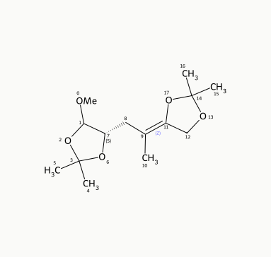 COC1OC(C)(C)O[C@H]1C/C(C)=C1/COC(C)(C)O1